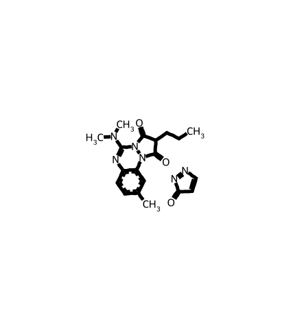 CCCC1C(=O)N2C(N(C)C)=Nc3ccc(C)cc3N2C1=O.O=C1C=CN=N1